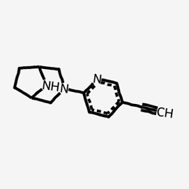 C#Cc1ccc(N2CC3CCC(C2)N3)nc1